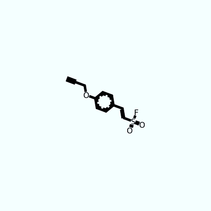 C#CCOc1ccc(/C=C/S(=O)(=O)F)cc1